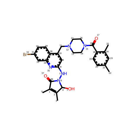 CC1=C(C)C(O)N(Nc2cc(CN3CCN(C(=O)c4ccc(C)cc4C)CC3)c3ccc(Br)cc3n2)C1=O